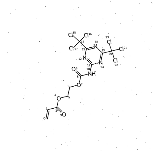 C=CC(=O)OCCOC(=O)Nc1nc(C(Cl)(Cl)Cl)nc(C(Cl)(Cl)Cl)n1